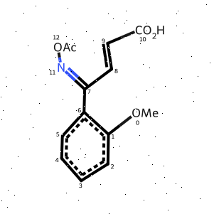 COc1ccccc1C(/C=C/C(=O)O)=N/OC(C)=O